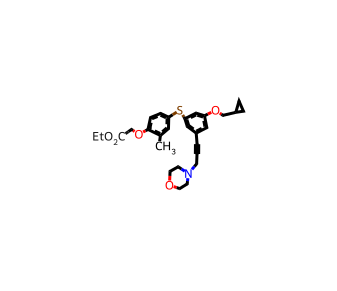 CCOC(=O)COc1ccc(Sc2cc(C#CCN3CCOCC3)cc(OCC3CC3)c2)cc1C